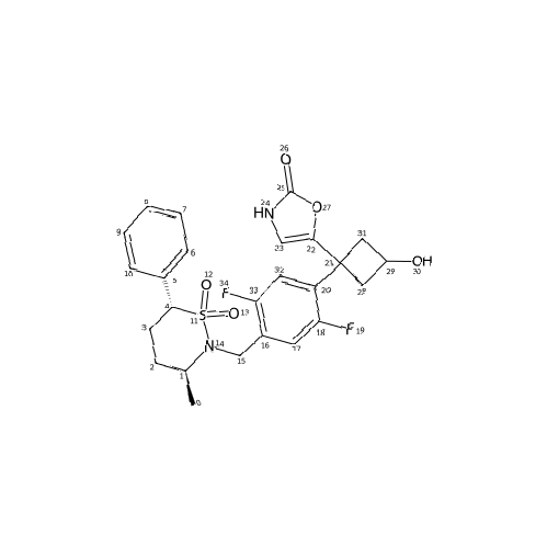 C[C@H]1CC[C@H](c2ccccc2)S(=O)(=O)N1Cc1cc(F)c(C2(c3c[nH]c(=O)o3)CC(O)C2)cc1F